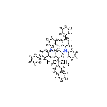 CC(C)(c1cc(N(c2ccccc2)c2ccc(-c3ccccc3)cc2)cc(N(c2ccccc2)c2ccc(-c3ccccc3)cc2)c1)c1ccc2ccccc2c1